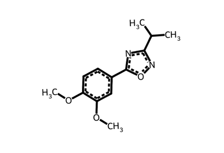 COc1ccc(-c2nc(C(C)C)no2)cc1OC